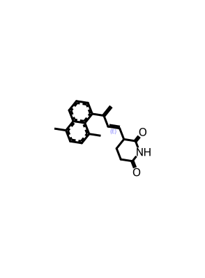 C=C(/C=C/C1CCC(=O)NC1=O)c1cccc2c(C)ccc(C)c12